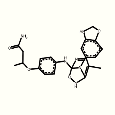 CC1=C2NOC(Nc3ccc(OC(C)CC(N)=O)cc3)(N=C1)N2c1ccc2c(c1)NCO2